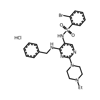 CCN1CCN(c2ncc(NS(=O)(=O)c3ccccc3Br)c(NCc3ccccc3)n2)CC1.Cl